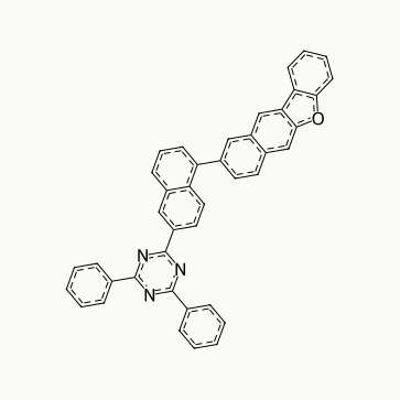 c1ccc(-c2nc(-c3ccccc3)nc(-c3ccc4c(-c5ccc6cc7oc8ccccc8c7cc6c5)cccc4c3)n2)cc1